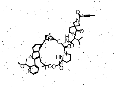 CC#CC(=O)N1CC2(CCN([C@H](C(=O)N[C@H]3Cc4nc(cs4)-c4ccc5c(c4)c(c(-c4cccnc4[C@H](C)OC)n5C)CC(C)(C)COC(=O)[C@@H]4CCCN(N4)C3=O)C(C)C)C2=O)C1